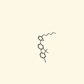 CCCCCCc1ccc(-c2ccc3c(c2)C(C)(C)c2cc(I)ccc2-3)s1